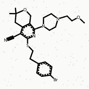 COCCN1CCN(c2nc(SCCc3ccc(Br)cc3)c(C#N)c3c2COC(C)(C)C3)CC1